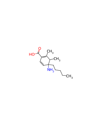 CCCCCC1(N)C=CC(C(=O)O)=C(C)C1C